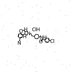 Cl.N#Cc1ccc2c(c1)[C@@H]1CN(CCC3CCC(NC(=O)c4ccc(Cl)cc4)CC3)C[C@H]1CO2